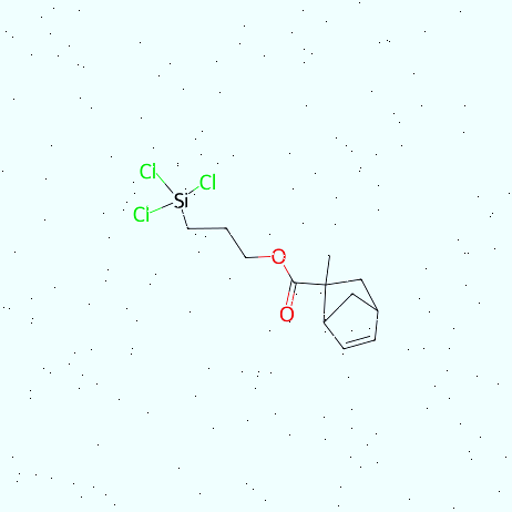 CC1(C(=O)OCCC[Si](Cl)(Cl)Cl)CC2C=CC1C2